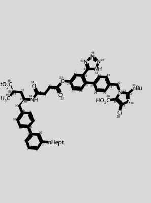 CCCCCCCc1cccc(-c2ccc(C[C@@H](C[C@H](C)C(=O)OCC)NC(=O)CCC(=O)Oc3ccc(-c4ccc(Cn5c(CCCC)nc(Cl)c5C(=O)O)cc4)c(-c4nnn[nH]4)c3)cc2)c1